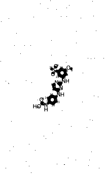 COc1cc(Nc2nccc(Nc3ccc(NC(=O)O)cc3)n2)cc(S(C)(=O)=O)c1